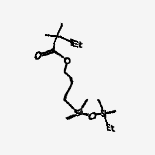 CCC(C)(C)C(=O)OCCC[Si](C)(C)O[Si](C)(C)CC